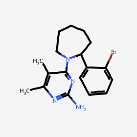 Cc1nc(N)nc(N2CCCCCC2c2ccccc2Br)c1C